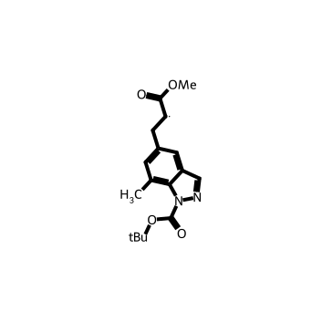 COC(=O)[CH]Cc1cc(C)c2c(cnn2C(=O)OC(C)(C)C)c1